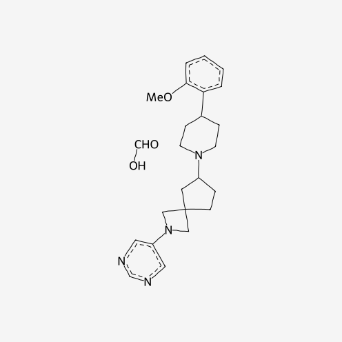 COc1ccccc1C1CCN(C2CCC3(C2)CN(c2cncnc2)C3)CC1.O=CO